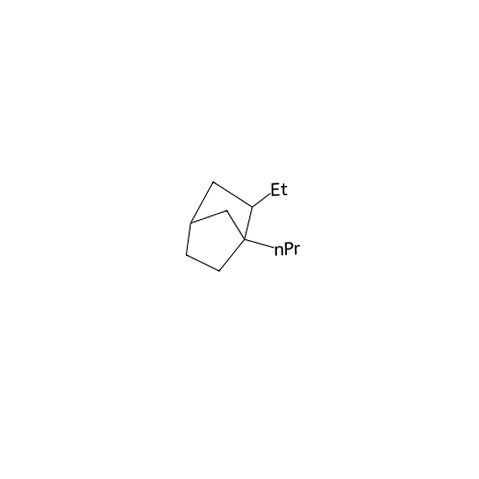 CCCC12CCC(CC1CC)C2